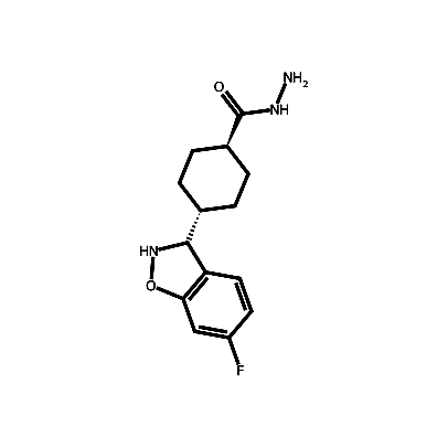 NNC(=O)[C@H]1CC[C@H](C2NOc3cc(F)ccc32)CC1